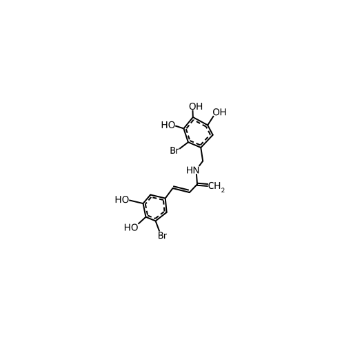 C=C(/C=C/c1cc(O)c(O)c(Br)c1)NCc1cc(O)c(O)c(O)c1Br